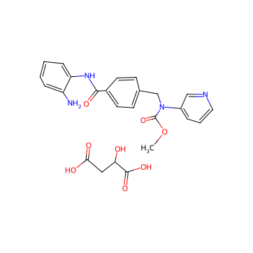 COC(=O)N(Cc1ccc(C(=O)Nc2ccccc2N)cc1)c1cccnc1.O=C(O)CC(O)C(=O)O